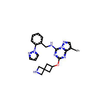 CC(C)c1cnn2c(NCc3ccccc3-n3cccn3)nc(OC3CC4(CNC4)C3)nc12